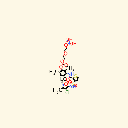 Cc1cc(C)c(OC(=O)OCCOCCON(O)O)c(C)c1NC(=O)c1sccc1S(=O)(=O)Nc1onc(C)c1Cl